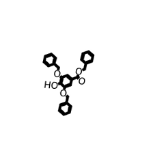 O=C(OCc1ccccc1)c1cc(OCc2ccccc2)c(O)c(OCc2ccccc2)c1